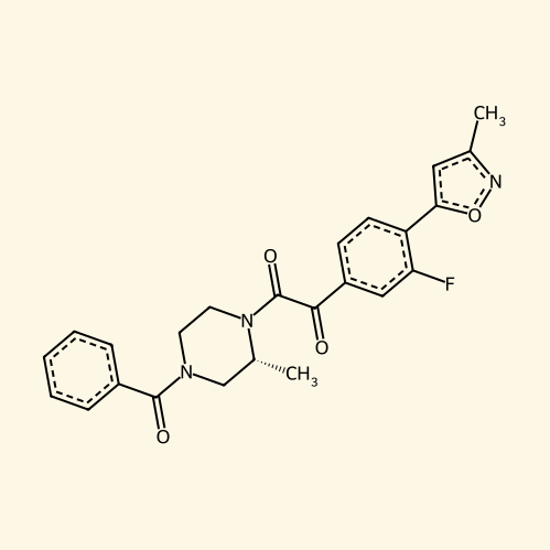 Cc1cc(-c2ccc(C(=O)C(=O)N3CCN(C(=O)c4ccccc4)C[C@H]3C)cc2F)on1